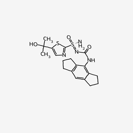 CC(C)(O)c1cnc([S@@](N)(=O)=NC(=O)Nc2c3c(cc4c2CCC4)CCC3)s1